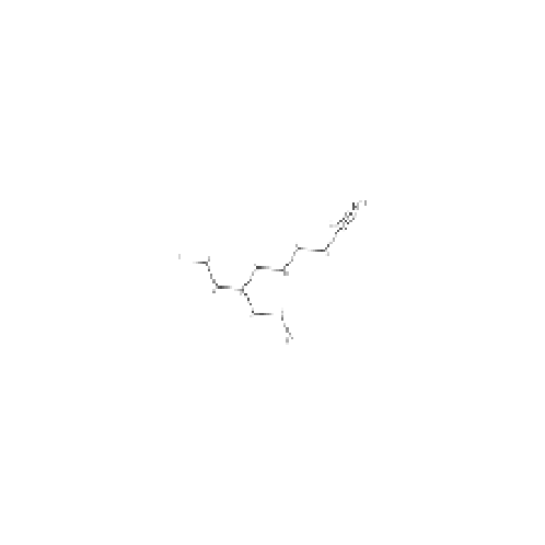 CCCC(CCC)CCCCC#N